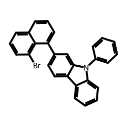 Brc1cccc2cccc(-c3ccc4c5ccccc5n(-c5ccccc5)c4c3)c12